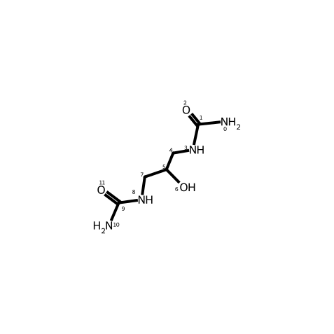 NC(=O)NCC(O)CNC(N)=O